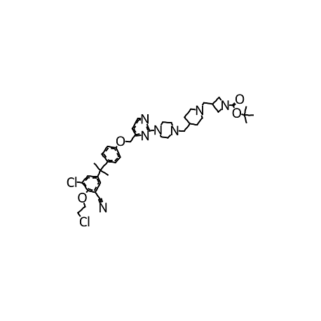 CC(C)(C)OC(=O)N1CC(CN2CCC(CN3CCN(c4nccc(COc5ccc(C(C)(C)c6cc(Cl)c(OCCCl)c(C#N)c6)cc5)n4)CC3)CC2)C1